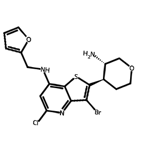 N[C@@H]1COCC[C@H]1c1sc2c(NCc3ccco3)cc(Cl)nc2c1Br